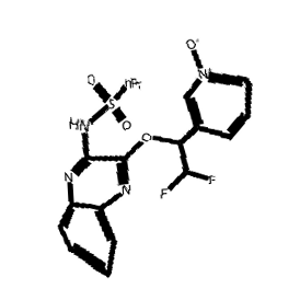 CCCS(=O)(=O)Nc1nc2ccccc2nc1OC(c1ccc[n+]([O-])c1)C(F)F